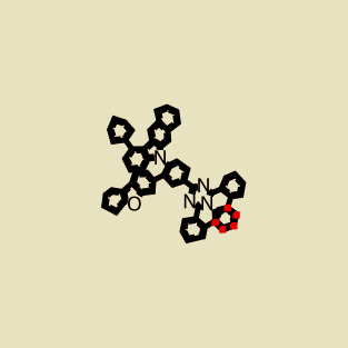 c1ccc(-c2ccccc2-c2nc(-c3ccc(-n4c5cc6ccccc6cc5c5c(-c6ccccc6)cccc54)c(-c4ccc5c(c4)oc4ccccc45)c3)nc(-c3ccccc3-c3ccccc3)n2)cc1